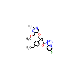 CCc1ccc([C@]2(COc3cnc(C)nc3COC)C[C@H]2C(=O)N(N)c2ccc(F)cn2)cc1